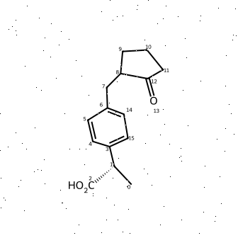 C[C@H](C(=O)O)c1ccc(CC2CCCC2=O)cc1